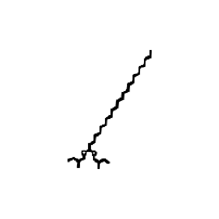 CCCCCCCCCCC/C=C/CCCCCCCCCCC(OCC(C)CC)OCC(C)CC